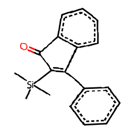 C[Si](C)(C)C1=C(c2ccccc2)c2ccccc2C1=O